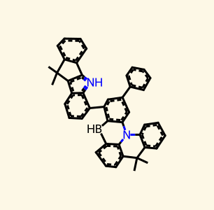 CC1(C)c2ccccc2N2c3cc(-c4ccccc4)cc(-c4cccc5c6c([nH]c45)-c4ccccc4C6(C)C)c3Bc3cccc1c32